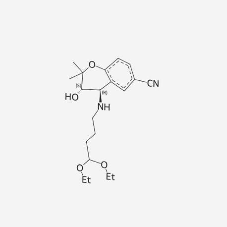 CCOC(CCCN[C@@H]1c2cc(C#N)ccc2OC(C)(C)[C@H]1O)OCC